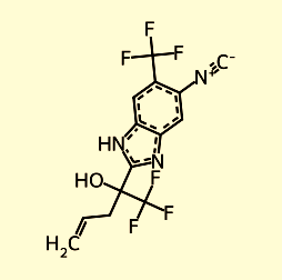 [C-]#[N+]c1cc2nc(C(O)(CC=C)C(F)(F)F)[nH]c2cc1C(F)(F)F